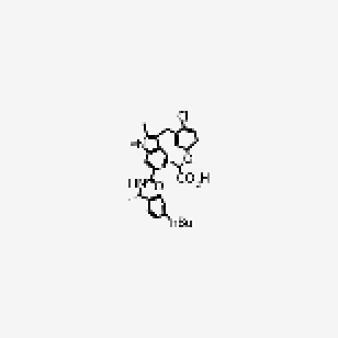 CCCCc1ccc([C@H](C)NC(=O)c2ccc3c(CC4=CC(OC(C)C(=O)O)CC=C4Cl)c(C)n(C)c3c2)cc1